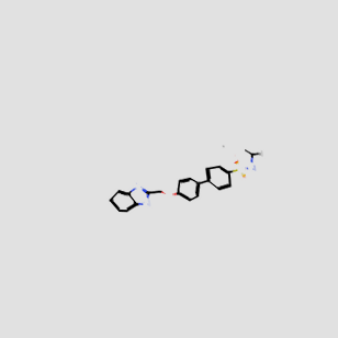 CC(C)C(NS(=O)(=O)c1ccc(-c2ccc(OCc3nc4ccccc4[nH]3)cc2)cc1)C(=O)O